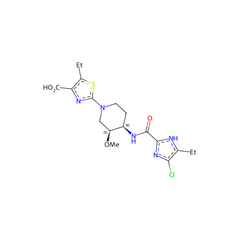 CCc1[nH]c(C(=O)N[C@@H]2CCN(c3nc(C(=O)O)c(CC)s3)C[C@@H]2OC)nc1Cl